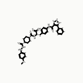 COc1ccc(NNC(=O)[C@H]2CC[C@H](C(=O)N[C@@H](Cc3ccc(NC(=O)c4snnc4-c4ccccc4)cc3)C(=O)O)CC2)cc1